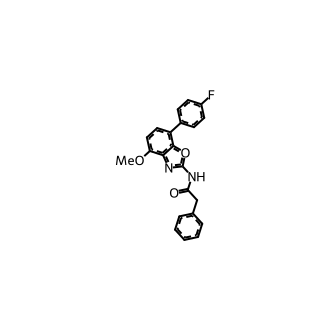 COc1ccc(-c2ccc(F)cc2)c2oc(NC(=O)Cc3ccccc3)nc12